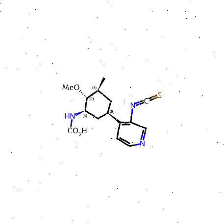 CO[C@@H]1[C@@H](C)C[C@@H](c2ccncc2N=C=S)C[C@H]1NC(=O)O